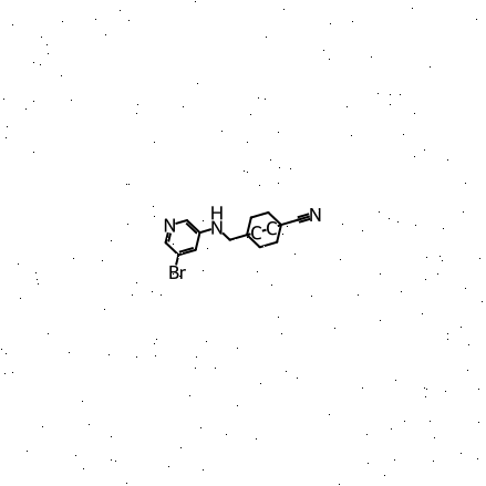 N#CC12CCC(CNc3cncc(Br)c3)(CC1)CC2